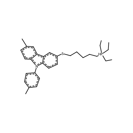 CC[PH](CC)(CC)CCCCCSc1ccc2c(c1)c1cc(C)ccc1n2-c1ccc(C)cc1